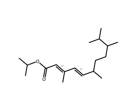 CC(/C=C/C(C)CCC(C)C(C)C)=C\C(=O)OC(C)C